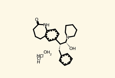 Cl.Cl.O.O=C1CCCc2cc([C@@H](Cc3ccccc3)[C@@H](O)N3CCCCC3)ccc2N1